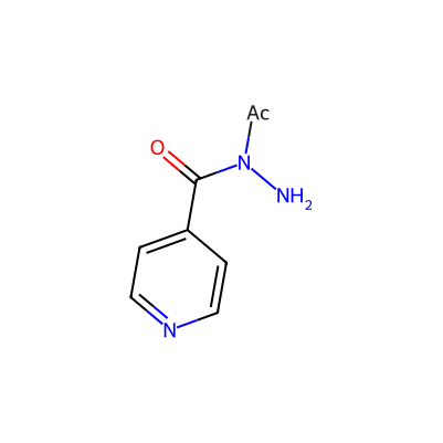 [CH2]C(=O)N(N)C(=O)c1ccncc1